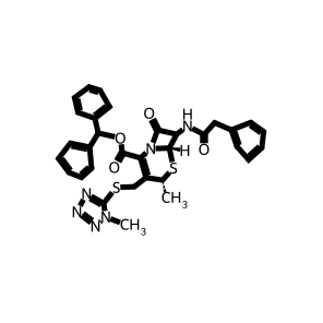 C[C@H]1S[C@H]2C(NC(=O)Cc3ccccc3)C(=O)N2C(C(=O)OC(c2ccccc2)c2ccccc2)=C1CSc1nnnn1C